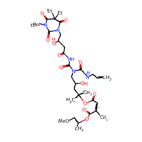 C=CCNC(=O)N(CC(O)CC(C)(C)OC(=O)/C=C(/C)C(=O)OC(C)COC)C(=O)NC(=O)CC(O)CN1C(=O)N(C(C)(C)C)C(=O)C(CC)(CC)C1=O